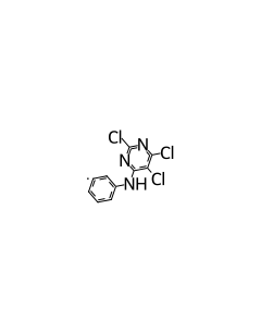 Clc1nc(Cl)c(Cl)c(Nc2c[c]ccc2)n1